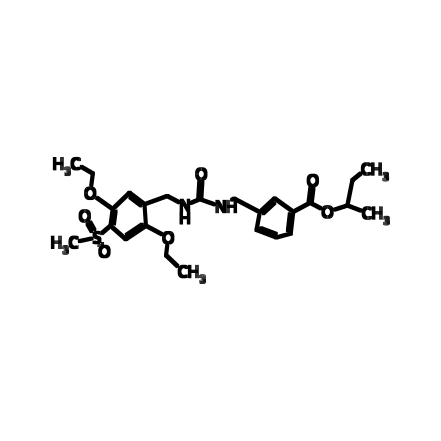 CCOc1cc(S(C)(=O)=O)c(OCC)cc1CNC(=O)NCc1cccc(C(=O)OC(C)CC)c1